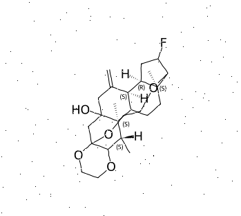 C=C1CC2(O)CC34OCCOC3[C@@H](C)[C@]2(C)C2CC[C@]3(C)C(OCCO4)C(F)C[C@@H]3[C@H]12